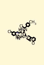 Cc1ccc(-c2nc([C@H](CC(=O)N3CC4CC(C3)c3cccc(=O)n3C4)NC(=O)/C=C/c3cc(Cl)ccc3-n3cnnn3)[nH]c2Cl)cc1